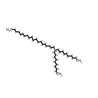 CCCCCCCCCCCCCCCCCCCCN(CCCCCCCCCC)CCCCCCCCCC